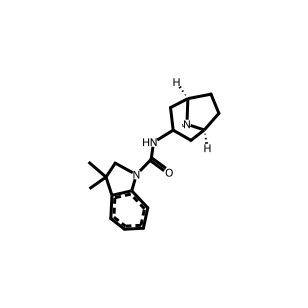 CN1[C@@H]2CC[C@H]1CC(NC(=O)N1CC(C)(C)c3ccccc31)C2